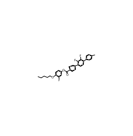 CCCCCOc1ccc(OC(=O)c2ccc(-c3ccc(-c4ccc(C)cc4)c(F)c3F)cc2)cc1F